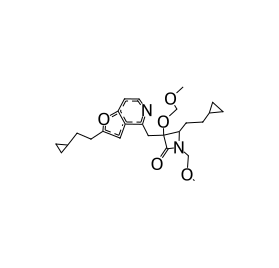 COCOC1(Cc2nccc3oc(CCC4CC4)cc23)C(=O)N(COC)C1CCC1CC1